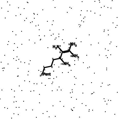 CCCCCCCCC(N)C(N)=C(N)N